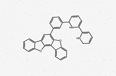 C1=CCNC(C2=CC=CC(c3cccc(-c4cc5c6ccccc6oc5c5c4oc4ccccc45)c3)N2)=C1